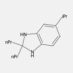 CCCC1(CCC)Nc2ccc(C(C)C)cc2N1